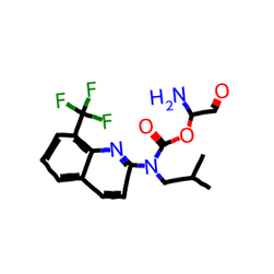 CC(C)CN(C(=O)OC(N)C=O)c1ccc2cccc(C(F)(F)F)c2n1